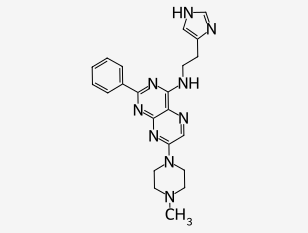 CN1CCN(c2cnc3c(NCCc4c[nH]cn4)nc(-c4ccccc4)nc3n2)CC1